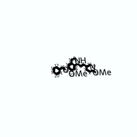 COc1ccc(C=CC2NCCc3cc(OCc4ccccc4)c(OC)cc32)cn1